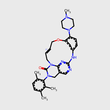 Cc1ccc(C)c(N2Cc3cnc4nc3N(C/C=C/COc3cc(ccc3N3CCN(C)CC3)N4)C2=O)c1C